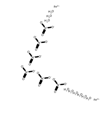 O.O.O.O.O.O.O.O.O.O=[N+]([O-])[O-].O=[N+]([O-])[O-].O=[N+]([O-])[O-].O=[N+]([O-])[O-].O=[N+]([O-])[O-].O=[N+]([O-])[O-].[Fe+3].[Fe+3]